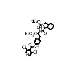 CCOC(=O)[C@@H](Cc1ccc(NC(=O)c2c(Cl)cncc2Cl)cc1)NC(=O)[C@@H]1C2CCCCC2CN1C(=O)OC(C)(C)C